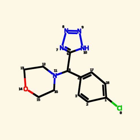 Clc1ccc(C(c2nnn[nH]2)N2CCOCC2)cc1